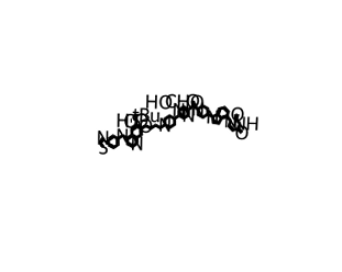 CC(C)(C)S(=O)(=O)c1cc2c(Nc3ccc4scnc4c3)ccnc2cc1OCCCN1CCC(c2cnc(C(=O)N3CCC(n4ccc5c(-n6ccc(=O)[nH]c6=O)cccc54)CC3)cn2)CC1.O=CO